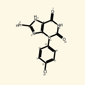 CCCc1nc2c([nH]1)c(=O)[nH]c(=O)n2-c1ccc(Cl)cc1